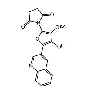 CC(=O)Oc1c(N2C(=O)CCC2=O)oc(-c2cnc3ccccc3c2)c1O